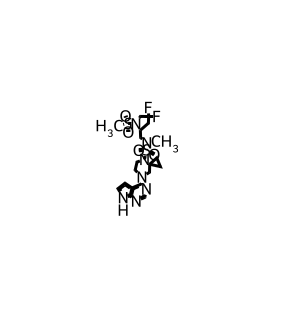 CN(CC1CC(F)(F)CN1S(C)(=O)=O)S(=O)(=O)N1CCN(c2ncnc3[nH]ccc23)CC12CC2